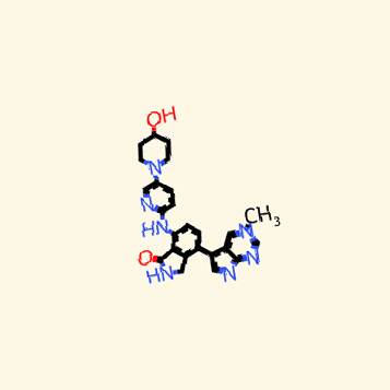 Cn1cnc2ncc(-c3ccc(Nc4ccc(N5CCC(O)CC5)cn4)c4c3CNC4=O)c-2c1